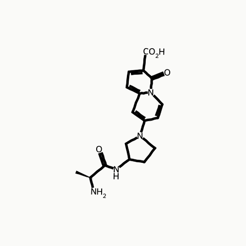 C[C@H](N)C(=O)NC1CCN(c2ccn3c(=O)c(C(=O)O)ccc3c2)C1